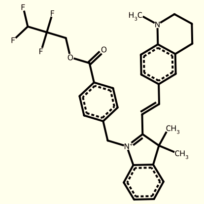 CN1CCCc2cc(/C=C/C3=[N+](Cc4ccc(C(=O)OCC(F)(F)C(F)F)cc4)c4ccccc4C3(C)C)ccc21